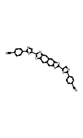 N#Cc1ccc(-c2ncc(-c3nc4cc5cc6oc(-c7cnc(-c8ccc(C#N)cc8)s7)nc6cc5cc4o3)s2)cc1